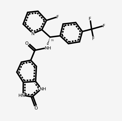 O=C(N[C@@H](c1ccc(C(F)(F)F)cc1)c1ncccc1F)c1ccc2[nH]c(=O)[nH]c2c1